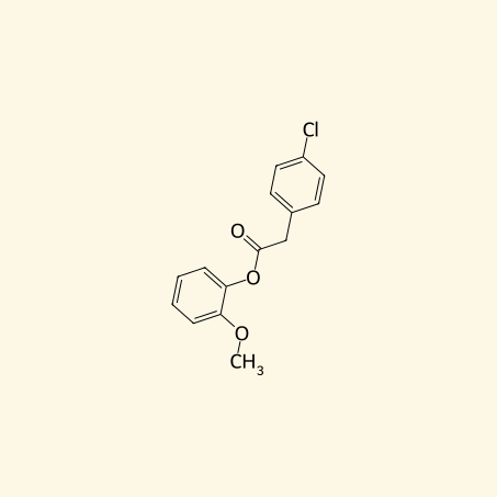 COc1ccccc1OC(=O)Cc1ccc(Cl)cc1